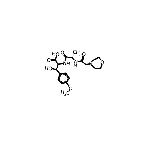 COc1ccc(C(O)C(NC(=O)[C@H](C)NC(=O)CN2CCOCC2)C(=O)O)cc1